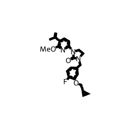 C=C(C)c1ccc(N2CCN(Cc3ccc(F)c(OCC4CC4)c3)C2=O)nc1OC